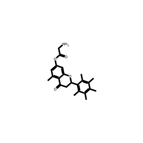 Cc1cc(OC(=O)CN)cc2c1C(=O)CC(c1c(C)c(C)c(C)c(C)c1C)O2